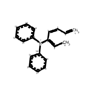 C=C/C=C\C(=C/C)N(c1ccccc1)c1ccccc1